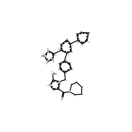 CCCCc1ncc(C(=O)N2CCCCC2)n1Cc1ccc(-c2cc(-c3ccccc3)ccc2-c2nn[nH]n2)cc1